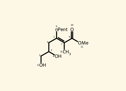 CCCCCC(CC(O)CO)=C(C)C(=O)OC